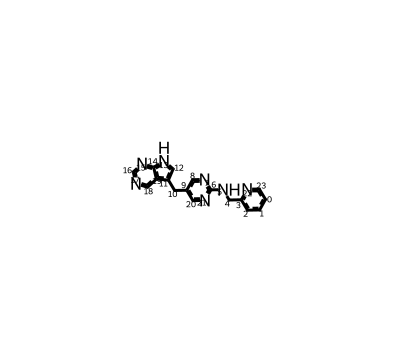 c1ccc(CNc2ncc(Cc3c[nH]c4ncncc34)cn2)nc1